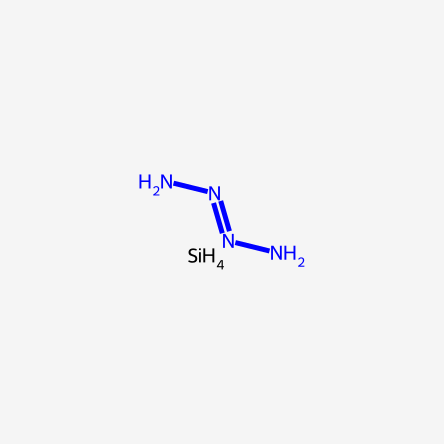 NN=NN.[SiH4]